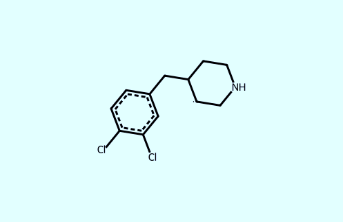 Clc1ccc(CC2[CH]CNCC2)cc1Cl